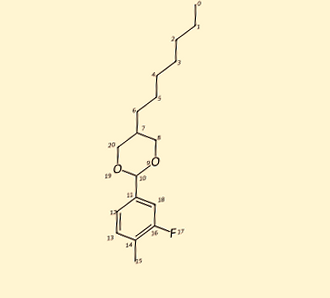 CCCCCCCC1COC(c2ccc(C)c(F)c2)OC1